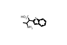 CC(N)C(C(=O)O)c1cc2ccccc2s1